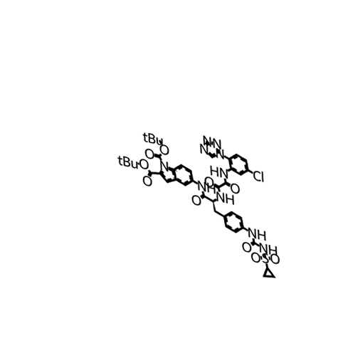 CC(C)(C)OC(=O)c1cc2cc(NC(=O)[C@H](Cc3ccc(NC(=O)NS(=O)(=O)C4CC4)cc3)NC(=O)C(=O)Nc3cc(Cl)ccc3-n3cnnn3)ccc2n1C(=O)OC(C)(C)C